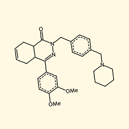 COc1ccc(C2=NN(Cc3ccc(CN4CCCCC4)cc3)C(=O)C3CC=CCC23)cc1OC